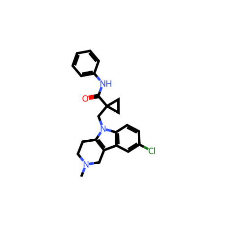 CN1CCc2c(c3cc(Cl)ccc3n2CC2(C(=O)Nc3ccccc3)CC2)C1